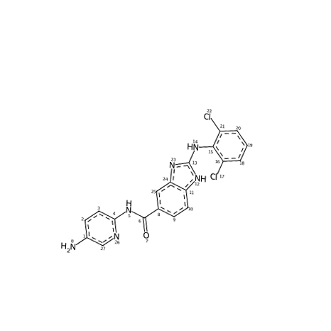 Nc1ccc(NC(=O)c2ccc3[nH]c(Nc4c(Cl)cccc4Cl)nc3c2)nc1